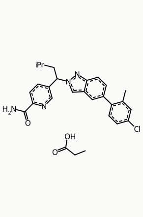 CCC(=O)O.Cc1cc(Cl)ccc1-c1ccc2nn(C(CC(C)C)c3ccc(C(N)=O)nc3)cc2c1